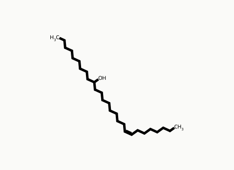 CCCCCCC/C=C\CCCCCCCCC(O)CCCCCCCCC